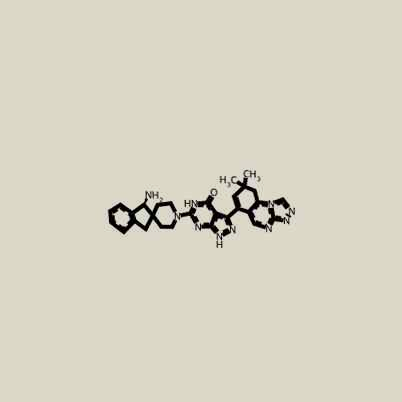 CC1(C)C=C(c2n[nH]c3nc(N4CCC5(CC4)Cc4ccccc4[C@H]5N)[nH]c(=O)c23)c2cnc3nncn3c2C1